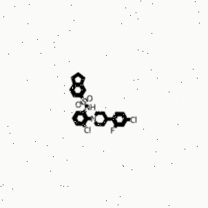 O=S(=O)(Nc1cccc(Cl)c1N1CCC(c2ccc(Cl)cc2F)CC1)c1ccc2c(c1)CCC2